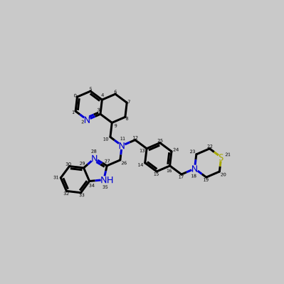 c1cnc2c(c1)CCCC2CN(Cc1ccc(CN2CCSCC2)cc1)Cc1nc2ccccc2[nH]1